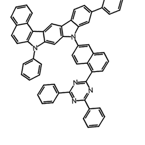 c1ccc(-c2ccc3c4cc5c6c7ccccc7ccc6n(-c6ccccc6)c5cc4n(-c4ccc5c(-c6nc(-c7ccccc7)nc(-c7ccccc7)n6)cccc5c4)c3c2)cc1